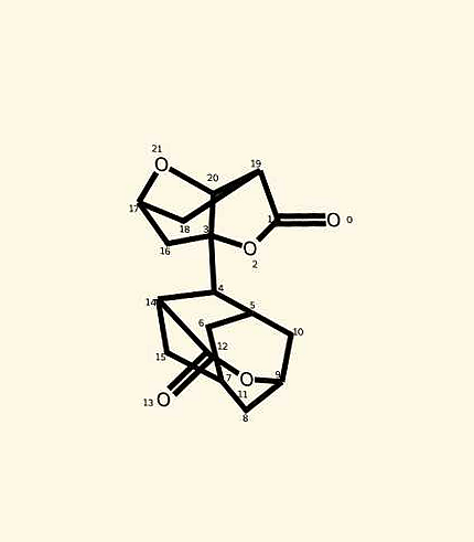 O=C1OC2(C3C4CC5CC(C4)OC(=O)C3C5)CC3CC1C2O3